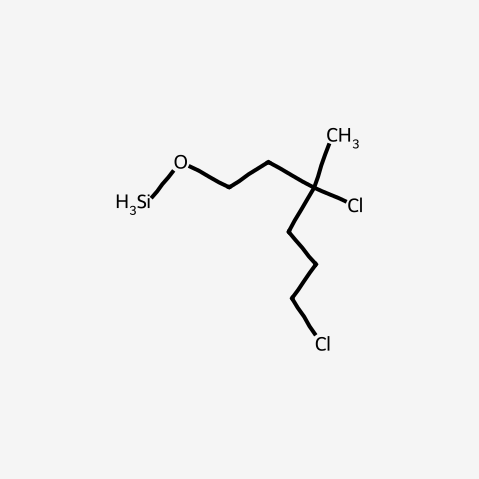 CC(Cl)(CCCCl)CCO[SiH3]